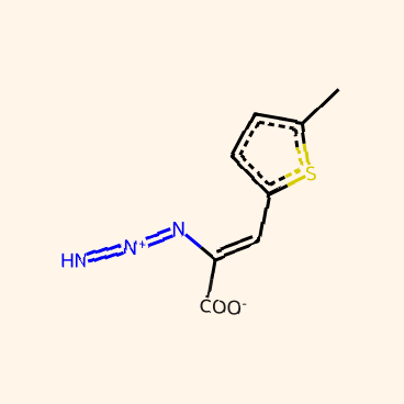 Cc1ccc(C=C(N=[N+]=N)C(=O)[O-])s1